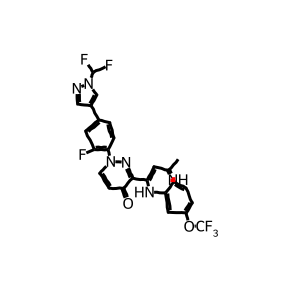 CC(=N)/C=C(\Nc1cccc(OC(F)(F)F)c1)c1nn(-c2ccc(-c3cnn(C(F)F)c3)cc2F)ccc1=O